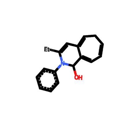 CCC1=CC2=CCC=CC=C2C(O)N1c1ccccc1